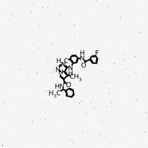 Cc1ccc(NC(=O)c2cccc(F)c2)cc1Nc1ncnn2cc(C(=O)NC(C)c3ccccc3)c(C)c12